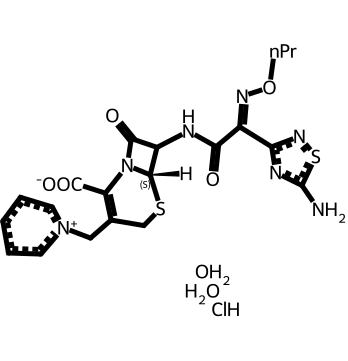 CCCON=C(C(=O)NC1C(=O)N2C(C(=O)[O-])=C(C[n+]3ccccc3)CS[C@@H]12)c1nsc(N)n1.Cl.O.O